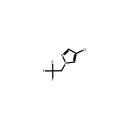 FC(F)(F)Cn1cc(Cl)[c]n1